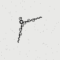 CCCCCCOCCOCCOc1ccc(OC)cc1OCCOCCOCCCCCC